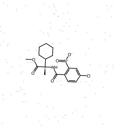 COC(=O)[C@@](C)(NC(=O)c1ccc(Cl)cc1[N+](=O)[O-])C1CCCCC1